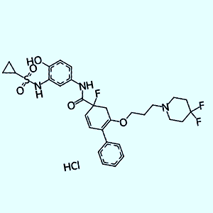 Cl.O=C(Nc1ccc(O)c(NS(=O)(=O)C2CC2)c1)C1(F)C=CC(c2ccccc2)=C(OCCCN2CCC(F)(F)CC2)C1